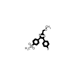 COCc1nc(-c2ccc(S(C)(=O)=O)cc2)c(-c2ccc(F)cc2)s1